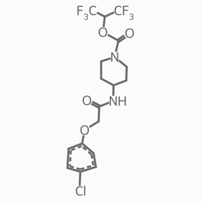 O=C(COc1ccc(Cl)cc1)NC1CCN(C(=O)OC(C(F)(F)F)C(F)(F)F)CC1